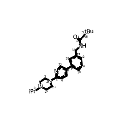 CC(C)N1CCN(c2ccc(-c3cccc(CNC(=O)CC(C)(C)C)c3)cn2)CC1